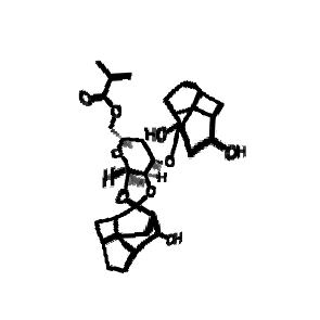 C=C(C)C(=O)OC[C@@H]1C[C@H](OC2(O)C3CC4CC5C(O)C2CC45C3)[C@H]2OC3(O[C@@H]2O1)C1CC24CC(CC2CC43)C1O